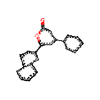 O=c1cc(-c2ccccc2)cc(-c2ccc3ccccc3c2)o1